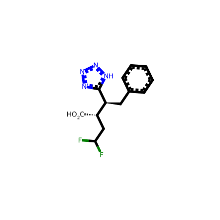 O=C(O)[C@@H](CC(F)F)[C@H](Cc1ccccc1)c1nnn[nH]1